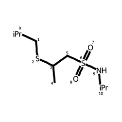 CC(C)CSC(C)CS(=O)(=O)NC(C)C